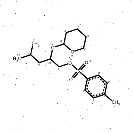 Cc1ccc(S(=O)(=O)OCC(CC(C)C)OC2CCCCO2)cc1